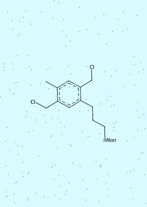 CCCCCCCCCCCCc1cc(CCl)c(C)cc1CCl